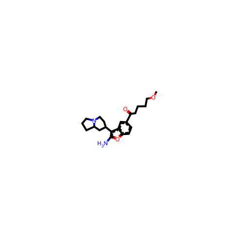 COCCCCC(=O)c1ccc2oc(N)c(C3CCN4CCCC4C3)c2c1